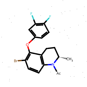 CC(=O)N1c2ccc(Br)c(Oc3ccc(F)c(F)c3)c2CC[C@@H]1C